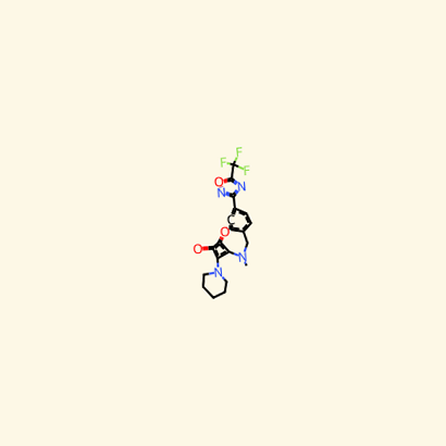 CN(Cc1ccc(-c2noc(C(F)(F)F)n2)cc1)c1c(N2CCCCC2)c(=O)c1=O